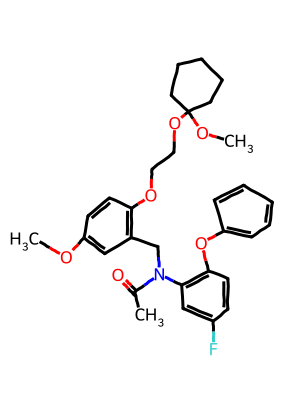 COc1ccc(OCCOC2(OC)CCCCC2)c(CN(C(C)=O)c2cc(F)ccc2Oc2ccccc2)c1